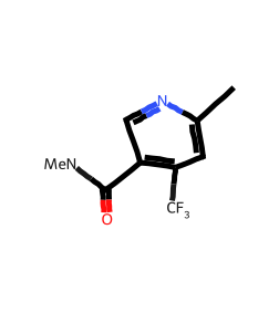 CNC(=O)c1cnc(C)cc1C(F)(F)F